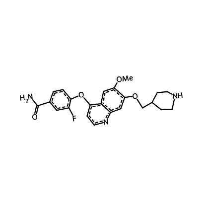 COc1cc2c(Oc3ccc(C(N)=O)cc3F)ccnc2cc1OCC1CCNCC1